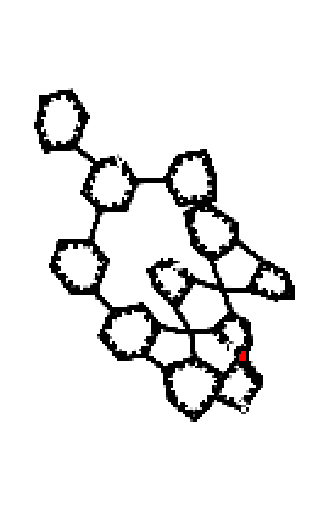 c1ccc(-c2cc(-c3cccc(-c4ccc5c(c4)C4(c6ccccc6C6(c7ccccc7-c7ccccc76)c6ccccc64)c4c-5ccc5oc6ccccc6c45)c3)cc(-c3ccccc3)n2)cc1